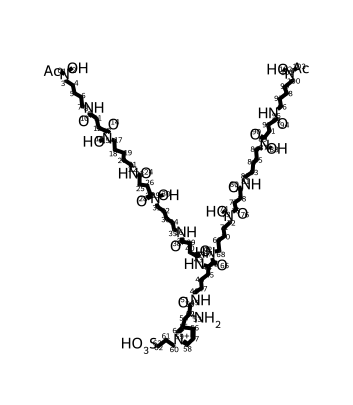 CC(=O)N(O)CCCCCNC(=O)CCC(=O)N(O)CCCCCNC(=O)CCC(=O)N(O)CCCCCNC(=O)CCC(=O)NC(CCCCNC(=O)[C@H](N)Cc1ccc[n+](CCCS(=O)(=O)O)c1)C(=O)NCCCCCN(O)C(=O)CCC(=O)NCCCCCN(O)C(=O)CCC(=O)NCCCCCN(O)C(C)=O